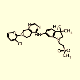 CC1(C)CN(CCS(C)(=O)=O)c2cc(Nc3ncnc4c3CCN(c3ncccc3Cl)C4)ccc21